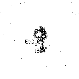 CCOC(=O)c1c(CCCO[Si](C)(C)C(C)(C)C)c2ccc(F)c3c2n1C/C=C\COCc1c-3c(C)nn1C